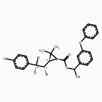 CC1(C)[C@H]([C@H](Br)[C@](Cl)(Br)c2ccc(Cl)cc2)[C@@H]1C(=O)OC(C#N)c1cccc(Oc2ccccc2)c1